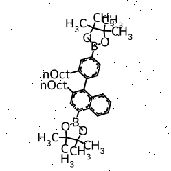 CCCCCCCCc1cc(B2OC(C)(C)C(C)(C)O2)ccc1-c1c(CCCCCCCC)cc(B2OC(C)(C)C(C)(C)O2)c2ccccc12